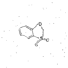 O=S1(=O)COc2ccccc21